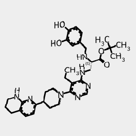 CCc1c(NC[C@H](NCc2ccc(O)c(O)c2)C(=O)OC(C)(C)C)ncnc1N1CCC(c2ccc3c(n2)NCCC3)CC1